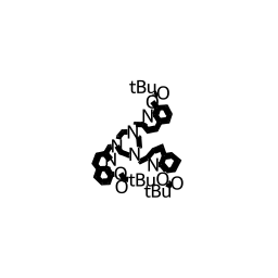 CC(C)(C)C(=O)Oc1cccc2ccc(CN3CCN(Cc4ccc5cccc(OC(=O)C(C)(C)C)c5n4)CCN(Cc4ccc5cccc(OC(=O)C(C)(C)C)c5n4)CC3)nc12